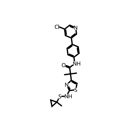 CC1(SNc2nc(C(C)(C)C(=O)Nc3ccc(-c4cncc(Cl)c4)cc3)cs2)CC1